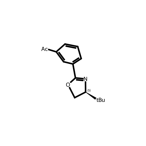 CC(=O)c1cccc(C2=N[C@@H](C(C)(C)C)CO2)c1